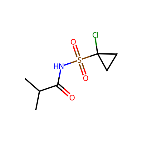 CC(C)C(=O)NS(=O)(=O)C1(Cl)CC1